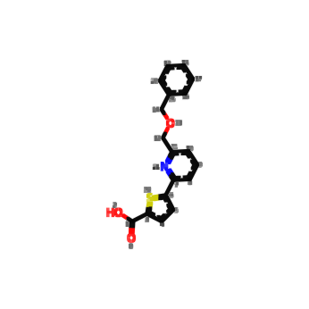 O=C(O)c1ccc(-c2cccc(COCc3ccccc3)n2)s1